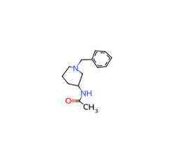 CC(=O)NC1CCCN(Cc2ccccc2)C1